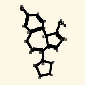 Cc1nnc2n1-c1ccc(Cl)cc1CN=C2N1CCCC1